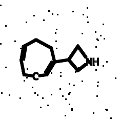 C1=C\CC/C(C2CNC2)=C\CC/1